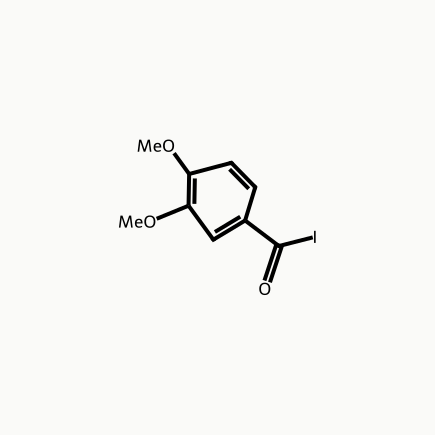 COc1ccc(C(=O)I)cc1OC